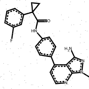 Cn1nc(N)c2c(-c3ccc(NC(=O)C4(c5cccc(F)c5)CC4)cc3)ccnc21